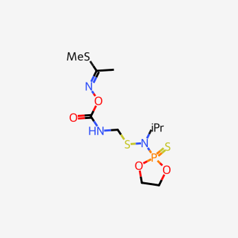 CS/C(C)=N/OC(=O)NCSN(C(C)C)P1(=S)OCCO1